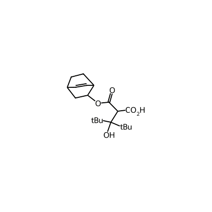 CC(C)(C)C(O)(C(C(=O)O)C(=O)OC1CC2C=CC1CC2)C(C)(C)C